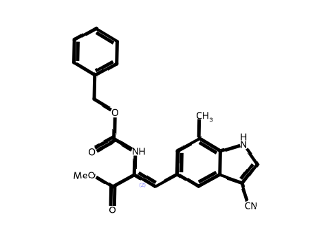 COC(=O)/C(=C/c1cc(C)c2[nH]cc(C#N)c2c1)NC(=O)OCc1ccccc1